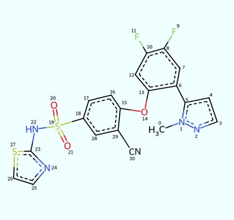 Cn1nccc1-c1cc(F)c(F)cc1Oc1ccc(S(=O)(=O)Nc2nccs2)cc1C#N